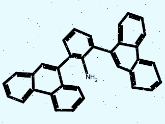 Nc1c(-c2cc3ccccc3c3ccccc23)cccc1-c1cc2ccccc2c2ccccc12